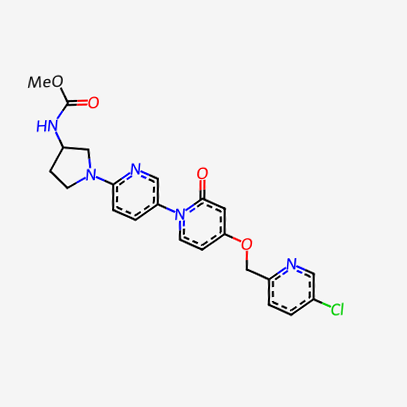 COC(=O)NC1CCN(c2ccc(-n3ccc(OCc4ccc(Cl)cn4)cc3=O)cn2)C1